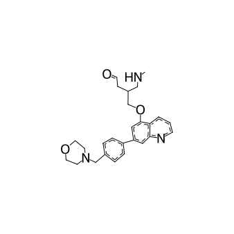 CNCC(CC=O)COc1cc(-c2ccc(CN3CCOCC3)cc2)cc2ncccc12